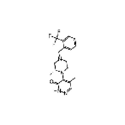 Cc1cn[nH]c(=O)c1N1CCN(Cc2ccccc2C(F)(F)F)C[C@H]1C